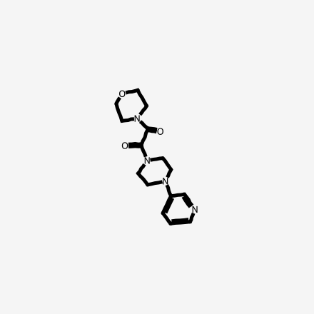 O=C(C(=O)N1CCN(c2cccnc2)CC1)N1CCOCC1